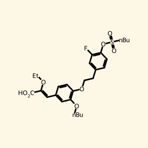 CCCCOc1cc(/C=C(\OCC)C(=O)O)ccc1OCCc1ccc(OS(=O)(=O)CCCC)c(F)c1